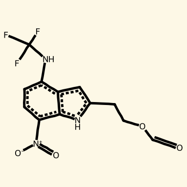 O=COCCc1cc2c(NC(F)(F)F)ccc([N+](=O)[O-])c2[nH]1